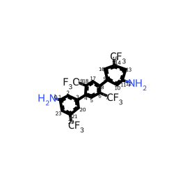 Nc1cc(-c2cc(C(F)(F)F)c(-c3cc(N)cc(C(F)(F)F)c3)cc2C(F)(F)F)cc(C(F)(F)F)c1